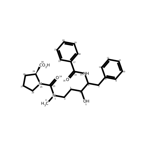 CN(CCC(O)C(Cc1ccccc1)NC(=O)c1ccccc1)C(=O)N1CCC[C@H]1C(=O)O